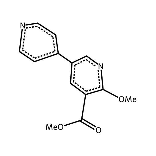 COC(=O)c1cc(-c2ccncc2)cnc1OC